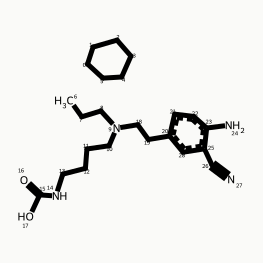 C1CCCCC1.CCCN(CCCCNC(=O)O)CCc1ccc(N)c(C#N)c1